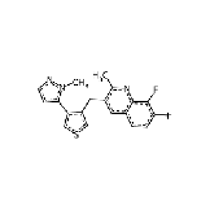 Cc1nc2c(F)c(F)ccc2cc1Cc1cscc1-c1ccnn1C